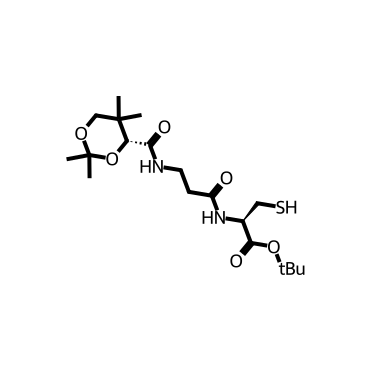 CC(C)(C)OC(=O)[C@H](CS)NC(=O)CCNC(=O)[C@@H]1OC(C)(C)OCC1(C)C